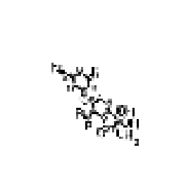 CC1C(=O)c2c(ccc(Oc3cc(F)cc(C#N)c3)c2C(F)F)S1(O)O